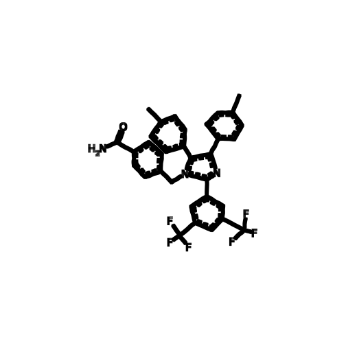 Cc1ccc(-c2nc(-c3cc(C(F)(F)F)cc(C(F)(F)F)c3)n(Cc3ccc(C(N)=O)cc3)c2-c2ccc(C)cc2)cc1